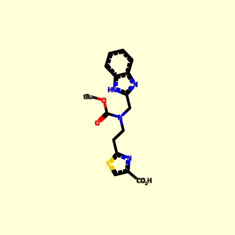 CC(C)(C)OC(=O)N(CCc1nc(C(=O)O)cs1)Cc1nc2ccccc2[nH]1